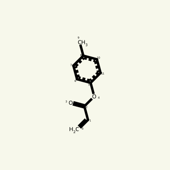 C=CC(=O)Oc1ccc(C)cc1